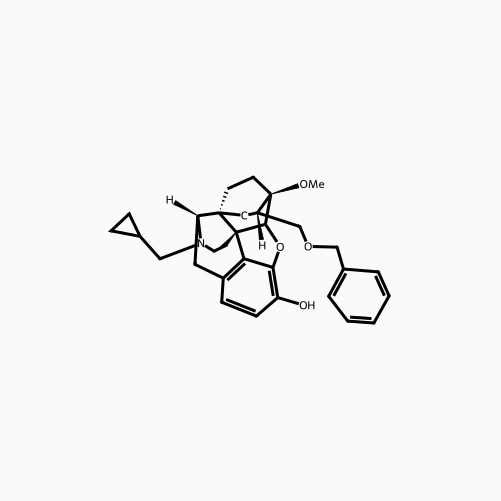 CO[C@]12CC[C@@]3(C[C@H]1COCc1ccccc1)[C@H]1Cc4ccc(O)c5c4[C@@]3(CCN1CC1CC1)C2O5